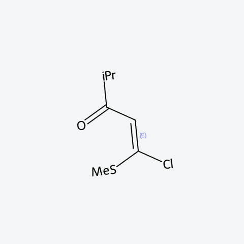 CS/C(Cl)=C\C(=O)C(C)C